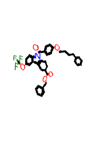 O=C(OCc1ccccc1)C1CCc2c(c3cc(OC(F)(F)F)ccc3n2C(=O)c2ccc(OCCCCc3ccccc3)cc2)C1